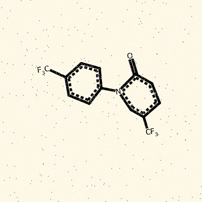 O=c1ccc(C(F)(F)F)cn1-c1ccc(C(F)(F)F)cc1